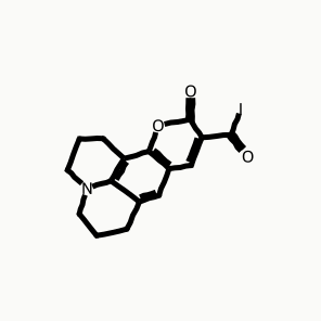 O=C(I)c1cc2cc3c4c(c2oc1=O)CCCN4CCC3